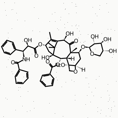 CC(=O)O[C@@]12CO[C@@H]1C[C@H](O[C@@H]1OC[C@@H](O)[C@H](O)[C@H]1O)[C@@]1(C)C(=O)[C@H](O)C3=C(C)[C@@H](OC(=O)[C@H](O)[C@@H](NC(=O)c4ccccc4)c4ccccc4)C[C@@](O)([C@@H](OC(=O)c4ccccc4)[C@@H]21)C3(C)C